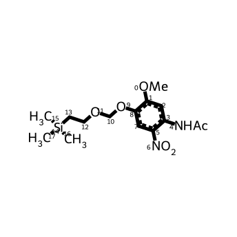 COc1cc(NC(C)=O)c([N+](=O)[O-])cc1OCOCC[Si](C)(C)C